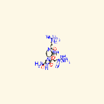 N=C(N)NCCC[C@H]1C(=O)N[C@@H]2CN1CCCC(N1C[C@H](C(N)=O)NC(=O)[C@@H]1CCCNC(=N)N)C2=O